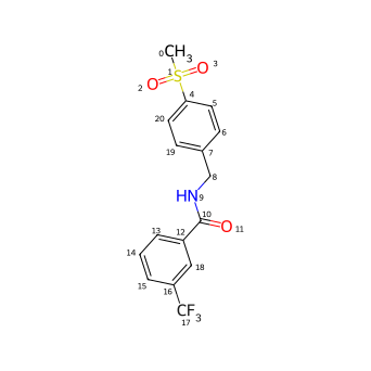 CS(=O)(=O)c1ccc(CNC(=O)c2cccc(C(F)(F)F)c2)cc1